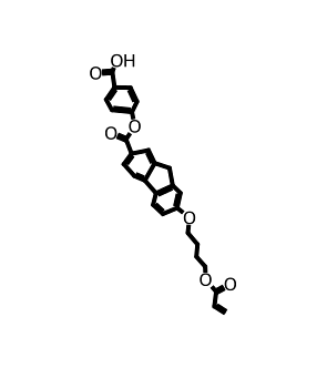 C=CC(=O)OCCCCOc1ccc2c(c1)Cc1cc(C(=O)Oc3ccc(C(=O)O)cc3)ccc1-2